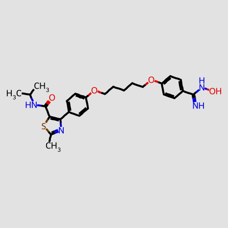 Cc1nc(-c2ccc(OCCCCCOc3ccc(C(=N)NO)cc3)cc2)c(C(=O)NC(C)C)s1